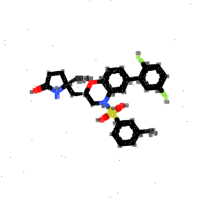 O=C1CC[C@](C[C@H]2CN(S(=O)(=O)c3cccc(C(F)(F)F)c3)c3cc(-c4cc(F)ccc4F)ccc3O2)(C(=O)O)N1